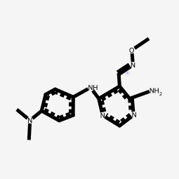 CO/N=C/c1c(N)ncnc1Nc1ccc(N(C)C)cc1